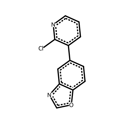 Clc1ncccc1-c1ccc2ocnc2c1